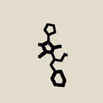 CC(=O)CC(Cc1ccccc1)n1c(=O)[nH]n(C2CCCC2)c1=O